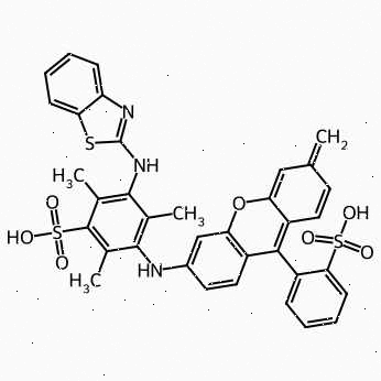 C=c1ccc2c(c1)Oc1cc(Nc3c(C)c(Nc4nc5ccccc5s4)c(C)c(S(=O)(=O)O)c3C)ccc1C=2c1ccccc1S(=O)(=O)O